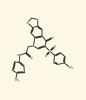 Cc1ccc(NC(=O)Cn2cc(S(=O)(=O)c3ccc(C)cc3)c(=O)c3cc4c(cc32)OCO4)cc1